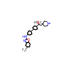 CN1CCC(CC(=O)c2ccc(-c3ccc(Nc4nc5cc(C(F)(F)F)ccc5o4)cc3)cc2)(C(=O)O)CC1